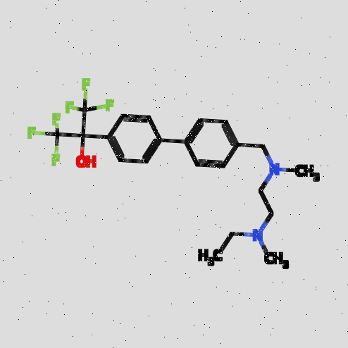 CCN(C)CCN(C)Cc1ccc(-c2ccc(C(O)(C(F)(F)F)C(F)(F)F)cc2)cc1